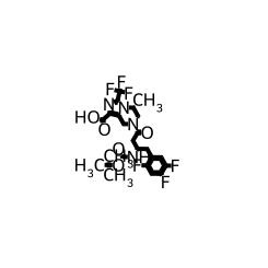 C[C@@H]1CN(C(=O)CC(Cc2cc(F)c(F)cc2F)NC(=O)OC(C)(C)C)Cc2c(C(=O)O)nc(C(F)(F)F)n21